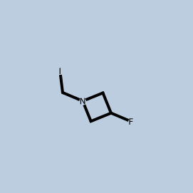 FC1CN(CI)C1